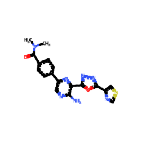 CN(C)C(=O)c1ccc(-c2cnc(N)c(-c3nnc(-c4cscn4)o3)n2)cc1